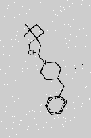 CC1(C)CC[C@@]1(CO)CCN1CCC(Cc2ccccc2)CC1